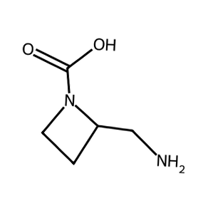 NCC1CCN1C(=O)O